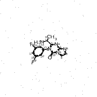 CC(N)c1nc2nccn2c(=O)n1-c1cc(F)cc(F)c1